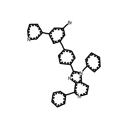 Brc1cc(-c2ccc(-c3nc4c(-c5ccccc5)nccc4n3-c3ccccc3)cc2)cc(-c2cccnc2)c1